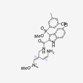 C=[N+](/C=C(\C=C/N)CNC(=O)c1[nH]c2ccc(Cl)cc2c1P(=O)(OC)c1cc(C)cc(C#N)c1)OC